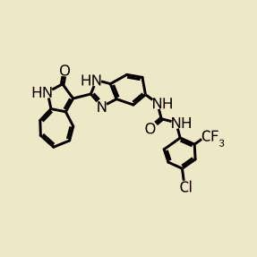 O=C(Nc1ccc2[nH]c(-c3c4cccccc-4[nH]c3=O)nc2c1)Nc1ccc(Cl)cc1C(F)(F)F